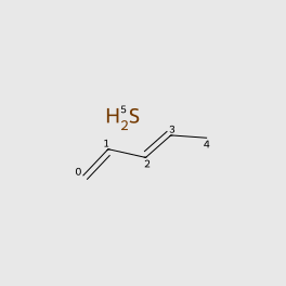 C=CC=CC.S